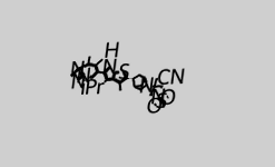 Cc1c(-c2[nH]c3sc([C@@H]4CC5CC4CN5C4(CC#N)CN(S(C)(=O)=O)C4)c(C)c3c2C(C)C)cn2ncnc2c1C